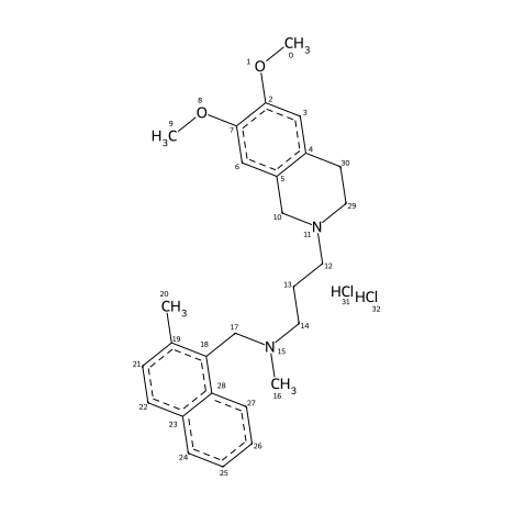 COc1cc2c(cc1OC)CN(CCCN(C)Cc1c(C)ccc3ccccc13)CC2.Cl.Cl